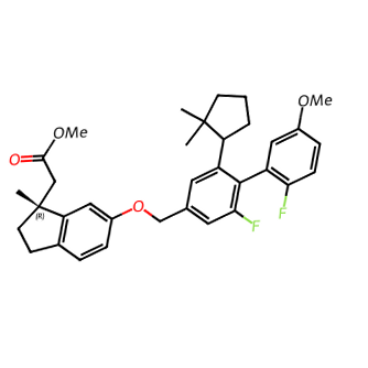 COC(=O)C[C@@]1(C)CCc2ccc(OCc3cc(F)c(-c4cc(OC)ccc4F)c(C4CCCC4(C)C)c3)cc21